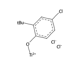 CC(C)(C)c1cc(Cl)ccc1[O][Ti+2].[Cl-].[Cl-]